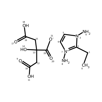 CCc1n(N)cc[n+]1N.O=C(O)CC(O)(CC(=O)O)C(=O)[O-]